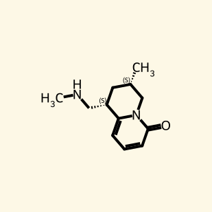 CNC[C@@H]1C[C@H](C)Cn2c1cccc2=O